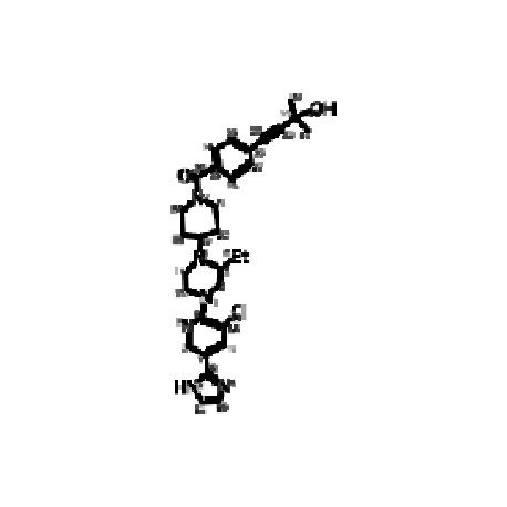 CC[C@H]1CN(c2ncc(-c3ncc[nH]3)cc2Cl)CCN1C1CCN(C(=O)c2ccc(C#CC(C)(C)O)cc2)CC1